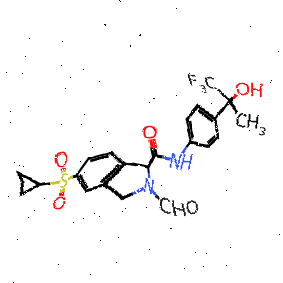 CC(O)(c1ccc(NC(=O)C2c3ccc(S(=O)(=O)C4CC4)cc3CN2C=O)cc1)C(F)(F)F